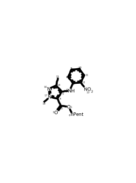 CCCCCOC(=O)c1c(Nc2ccccc2[N+](=O)[O-])c(C)nn1C